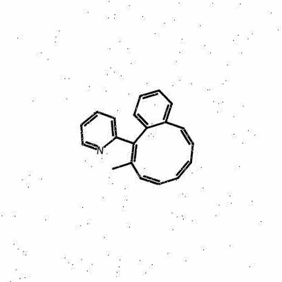 Cc1ccccccc2ccccc2c1-c1ccccn1